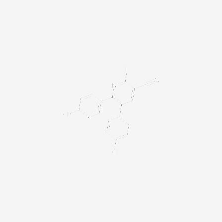 N#Cc1cc(-c2ccc(Cl)cc2)c(-c2ccc(Cl)cc2)nc1F